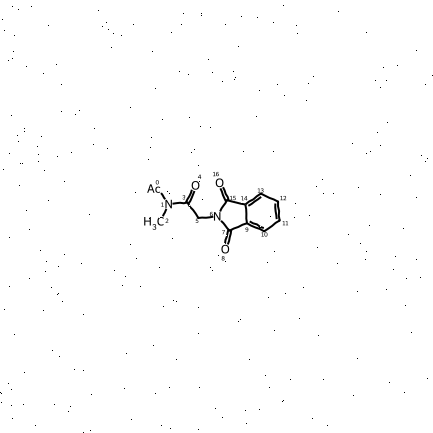 CC(=O)N(C)C(=O)CN1C(=O)c2ccccc2C1=O